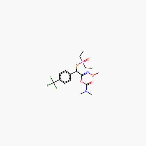 CCP(=O)(CC)SC(C(=NOC)OC(=O)N(C)C)c1ccc(C(F)(F)F)cc1